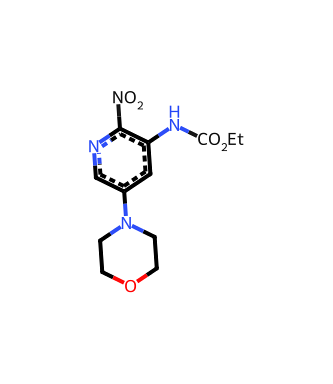 CCOC(=O)Nc1cc(N2CCOCC2)cnc1[N+](=O)[O-]